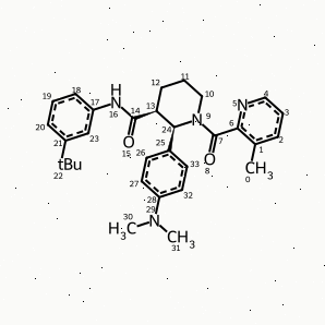 Cc1cccnc1C(=O)N1CCC[C@H](C(=O)Nc2cccc(C(C)(C)C)c2)[C@@H]1c1ccc(N(C)C)cc1